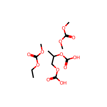 CC(COC(=O)O)OC(=O)O.CCOC(=O)OC.COC(=O)OC